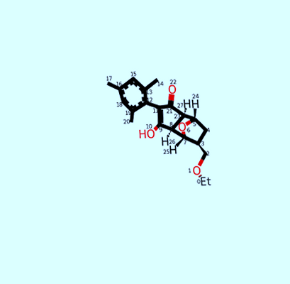 CCOC[C@@H]1C[C@@H]2O[C@H]1[C@H]1C(O)=C(c3c(C)cc(C)cc3C)C(=O)[C@H]12